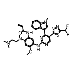 C=CC(=O)Nc1cc(Nc2ncc(-c3nnc(C(F)F)s3)c(-c3cn(C)c4ccccc34)n2)c(OC)cc1N(C)CCN(C)C